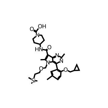 Cc1ccc(OCC2CC2)c(-c2nc(C)nc3c(C(=O)NC4CCN(C(=O)O)CC4)c(C)n(COCC[Si](C)(C)C)c23)c1